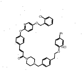 CC(C)c1ccc(OCCc2ccc(CN3CCN(C(=O)C=Cc4ccc(Oc5ccc(OCc6ccccc6Cl)cn5)cc4)CC3)cc2)cc1.Cl